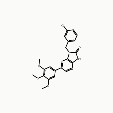 COc1cc(-c2cnc3[nH]c(=O)n(Cc4cccc(Cl)c4)c3n2)cc(OC)c1OC